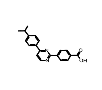 CC(C)c1ccc(-c2ccnc(-c3ccc(C(=O)O)cc3)n2)cc1